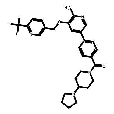 Nc1ncc(-c2ccc(C(=O)N3CCC(N4CCCC4)CC3)cc2)cc1OCc1ccc(C(F)(F)F)nc1